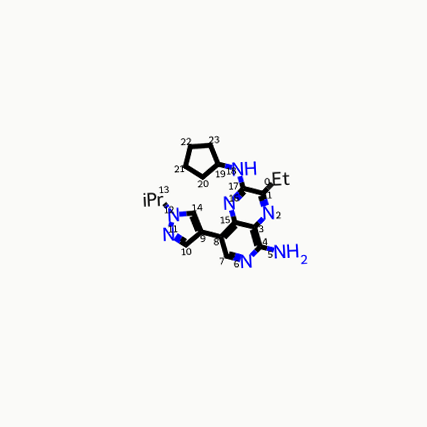 CCc1nc2c(N)ncc(-c3cnn(C(C)C)c3)c2nc1NC1CCCC1